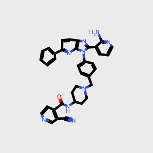 N#Cc1cnccc1C(=O)NC1CCN(Cc2ccc(-n3c(-c4cccnc4N)nc4ccc(-c5ccccc5)nc43)cc2)CC1